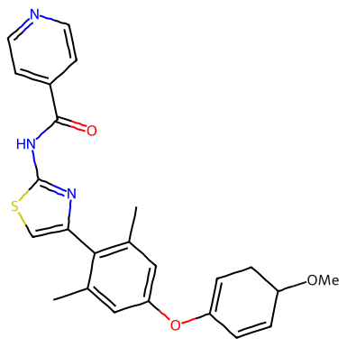 COC1C=CC(Oc2cc(C)c(-c3csc(NC(=O)c4ccncc4)n3)c(C)c2)=CC1